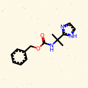 CC(C)(NC(=O)OCc1ccccc1)c1ncc[nH]1